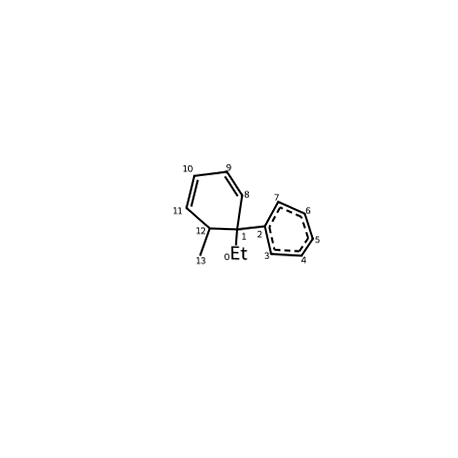 CCC1(c2ccccc2)C=CC=CC1C